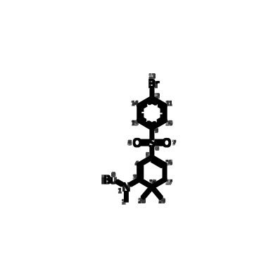 CCC(C)N(C)C1=CC(S(=O)(=O)c2ccc(Br)cc2)=CCC1(C)C